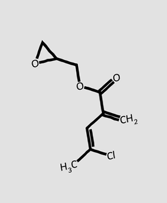 C=C(C=C(C)Cl)C(=O)OCC1CO1